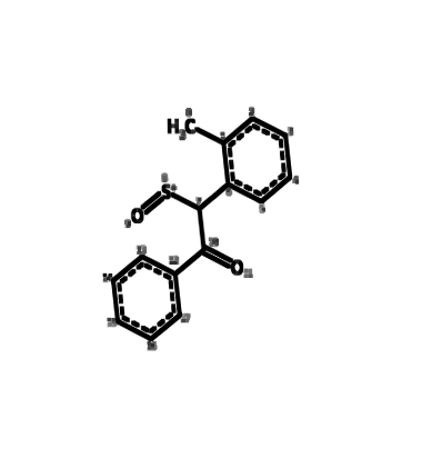 Cc1ccccc1C([S+]=O)C(=O)c1ccccc1